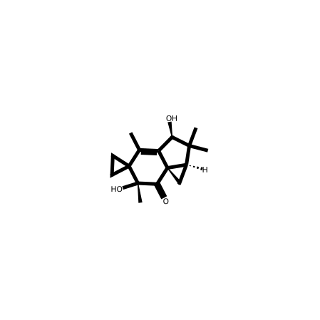 CC1=C2[C@@H](O)C(C)(C)[C@H]3C[C@@]23C(=O)[C@](C)(O)C12CC2